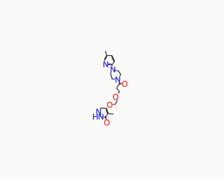 Cc1ccc(N2CCN(C(=O)CCOC[C@H](C)Oc3cn[nH]c(=O)c3C)CC2)nc1